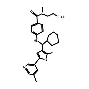 Cc1cncc(-c2cc(C(Nc3ccc(C(=O)N(C)CCC(=O)O)cc3)C3CCCCC3)c(C)o2)c1